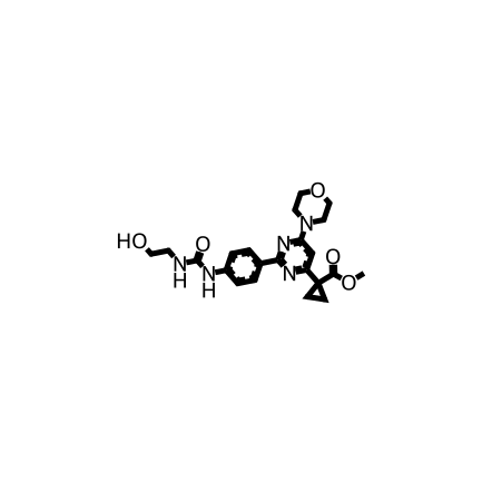 COC(=O)C1(c2cc(N3CCOCC3)nc(-c3ccc(NC(=O)NCCO)cc3)n2)CC1